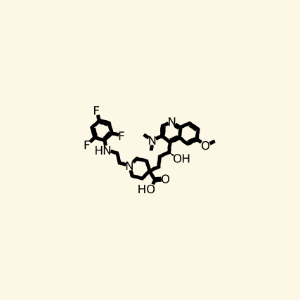 COc1ccc2ncc(N(C)C)c([C@H](O)CCC3(C(=O)O)CCN(CCNc4c(F)cc(F)cc4F)CC3)c2c1